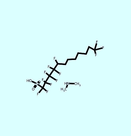 CNC.O=S(=O)(O)C(F)(F)C(F)(F)C(F)(F)C(F)(F)C(F)CCCCCCC(F)(F)F